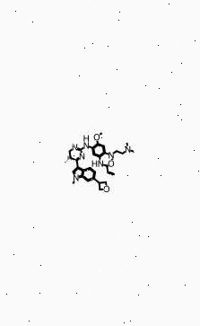 C=CC(=O)Nc1cc(NC2=NC[C@@H](C)C(c3cn(C)c4cc(C5COC5)ccc34)=N2)c(OC)cc1N(C)CCN(C)C